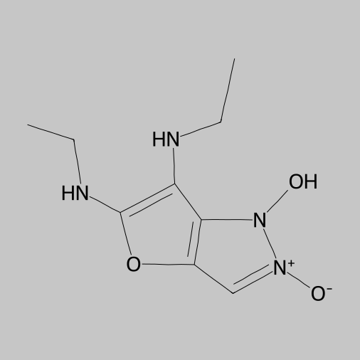 CCNc1oc2c[n+]([O-])n(O)c2c1NCC